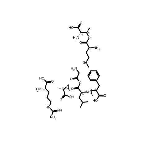 CC(C)C[C@H](N)C(=O)OC(=O)CN.C[C@H](N)C(=O)O.C[Se]CC[C@H](N)C(=O)O[C@H](C)[C@H](N)C(=O)O.N=C(N)NCCC[C@H](N)C(=O)O.N[C@@H](Cc1ccccc1)C(=O)O